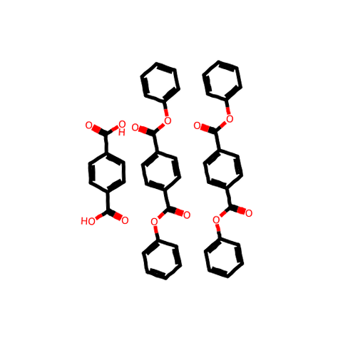 O=C(O)c1ccc(C(=O)O)cc1.O=C(Oc1ccccc1)c1ccc(C(=O)Oc2ccccc2)cc1.O=C(Oc1ccccc1)c1ccc(C(=O)Oc2ccccc2)cc1